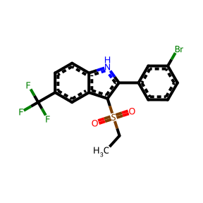 CCS(=O)(=O)c1c(-c2cccc(Br)c2)[nH]c2ccc(C(F)(F)F)cc12